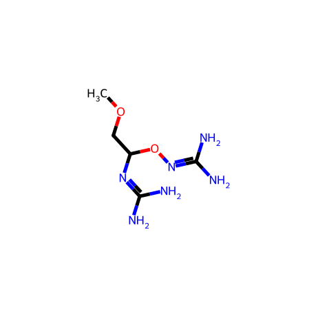 COCC(N=C(N)N)ON=C(N)N